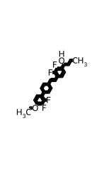 CCCC(O)c1ccc(/C=C/C2CCC(c3ccc(OCC)c(F)c3F)CC2)c(F)c1F